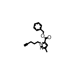 C#CCCCn1nc(C)cc1C(=O)OCc1ccccc1